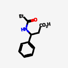 CCC(=O)NC(CC(=O)O)c1ccccc1